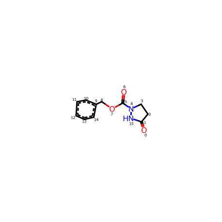 O=C1CCN(C(=O)OCc2ccccc2)N1